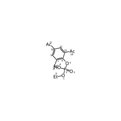 CCOP(=O)(O)Oc1c(C(C)=O)cc(C(C)=O)cc1C(C)=O